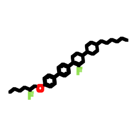 CCCCCCC1CCC(C2CCC(c3ccc(-c4ccc(OCC(F)CCCC)cc4)cc3)=C(F)C2)CC1